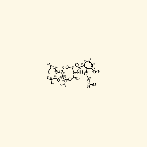 CC[C@H]1OC(=O)[C@H](NC(=O)c2nccc(OC)c2OCOC(C)=O)COC[C@H](OCC(C)C)[C@H]1OCC(C)C